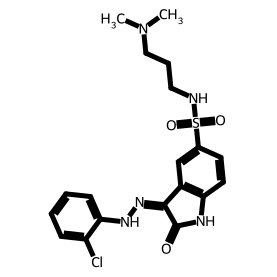 CN(C)CCCNS(=O)(=O)c1ccc2c(c1)/C(=N/Nc1ccccc1Cl)C(=O)N2